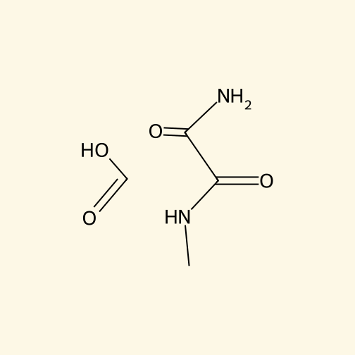 CNC(=O)C(N)=O.O=CO